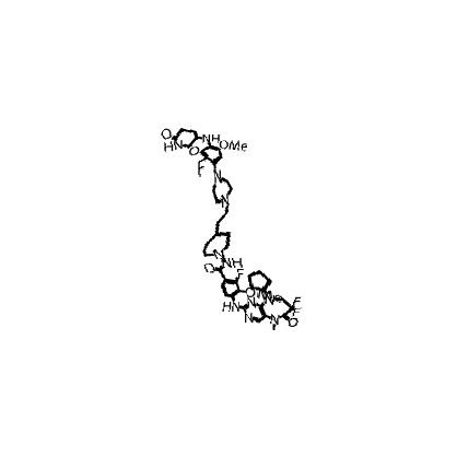 COc1cc(N2CCN(CCC3CCN(NC(=O)c4ccc(Nc5ncc6c(n5)N(C5CCCC5)CC(F)(F)C(=O)N6C)c(OC)c4F)CC3)CC2)c(F)cc1NC1CCC(=O)NC1=O